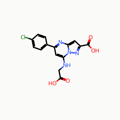 O=C(O)CNc1cc(-c2ccc(Cl)cc2)nc2cc(C(=O)O)nn12